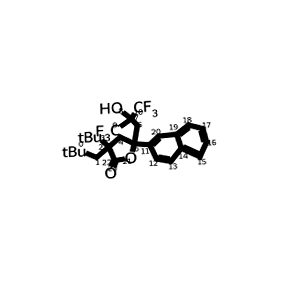 CC(C)(C)CC1(C(C)(C)C)CC(CC(O)(C(F)(F)F)C(F)(F)F)(c2ccc3ccccc3c2)OC1=O